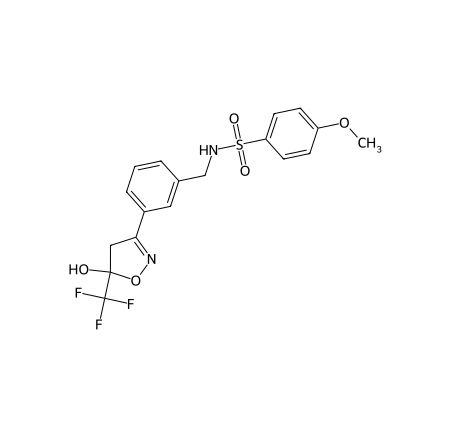 COc1ccc(S(=O)(=O)NCc2cccc(C3=NOC(O)(C(F)(F)F)C3)c2)cc1